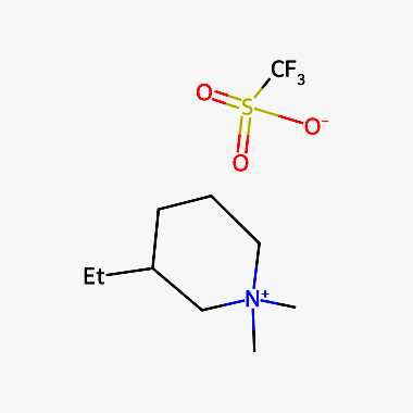 CCC1CCC[N+](C)(C)C1.O=S(=O)([O-])C(F)(F)F